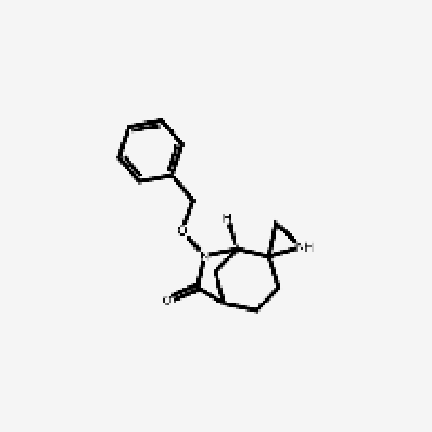 O=C1C2CCC3(CN3)[C@H](C2)N1OCc1ccccc1